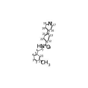 Cc1cccc(CCNC(=O)c2ccc(-c3ccncc3)cc2)c1